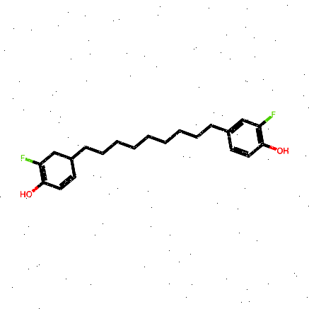 OC1=C(F)CC(CCCCCCCCCc2ccc(O)c(F)c2)C=C1